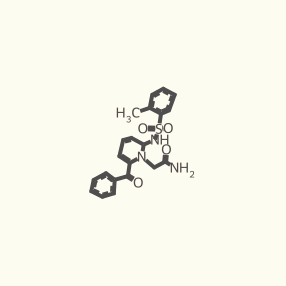 Cc1ccccc1S(=O)(=O)NC1C=CC=C(C(=O)c2ccccc2)N1CC(N)=O